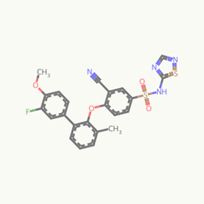 COc1ccc(-c2cccc(C)c2Oc2ccc(S(=O)(=O)Nc3ncns3)cc2C#N)cc1F